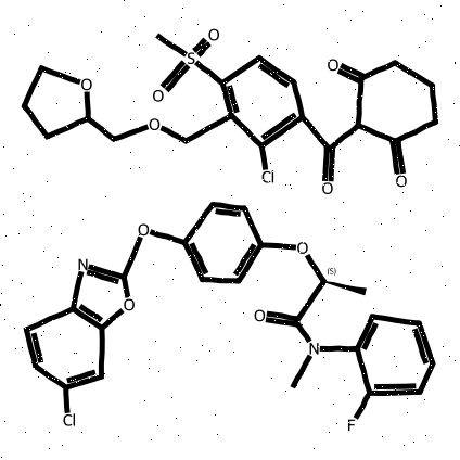 CS(=O)(=O)c1ccc(C(=O)C2C(=O)CCCC2=O)c(Cl)c1COCC1CCCO1.C[C@H](Oc1ccc(Oc2nc3ccc(Cl)cc3o2)cc1)C(=O)N(C)c1ccccc1F